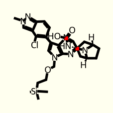 Cn1cc2c(Cl)c(-c3cn(COCC[Si](C)(C)C)c4nc(N5[C@@H]6CC[C@H]5C[C@@H](NC(=O)O)C6)cnc34)ccc2n1